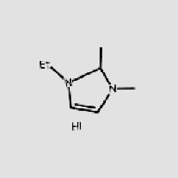 CCN1C=CN(C)C1C.I